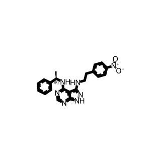 C[C@@H](Nc1ncnc2[nH]nc(NCCc3ccc([N+](=O)[O-])cc3)c12)c1ccccc1